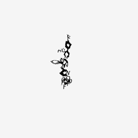 O=c1nc(N2CC=C(c3ccc(F)cc3)[C@@H](O)C2)cnn1Cc1ccc(OS(=O)(=O)C(F)(F)F)nc1